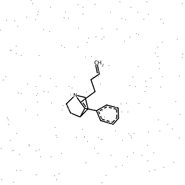 C=CCCC1=C(c2ccccc2)C2CCN1CC2